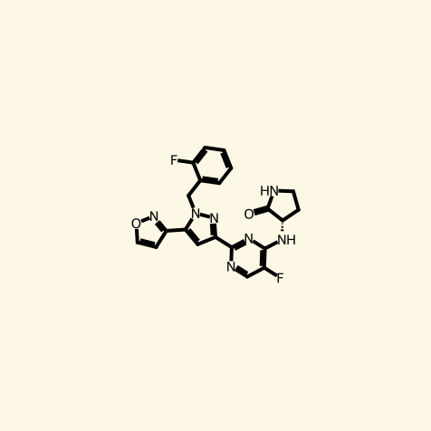 O=C1NCC[C@@H]1Nc1nc(-c2cc(-c3ccon3)n(Cc3ccccc3F)n2)ncc1F